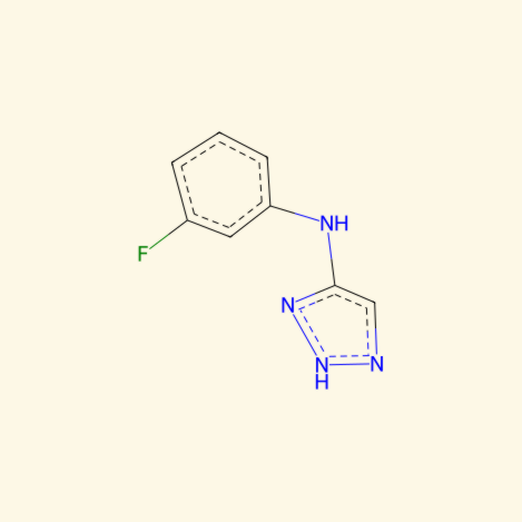 Fc1cccc(Nc2cn[nH]n2)c1